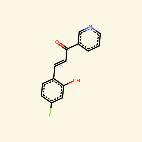 O=C(/C=C/c1ccc(F)cc1O)c1cccnc1